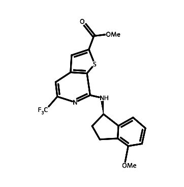 COC(=O)c1cc2cc(C(F)(F)F)nc(N[C@@H]3CCc4c(OC)cccc43)c2s1